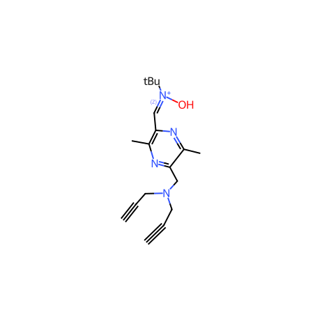 C#CCN(CC#C)Cc1nc(C)c(/C=[N+](\O)C(C)(C)C)nc1C